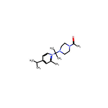 CC(=O)N1CCN(C(C)(C)[n+]2ccc(C(C)C)cc2C)CC1